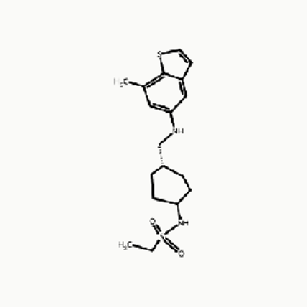 CCS(=O)(=O)N[C@H]1CC[C@H](CNc2cc(C)c3sccc3c2)CC1